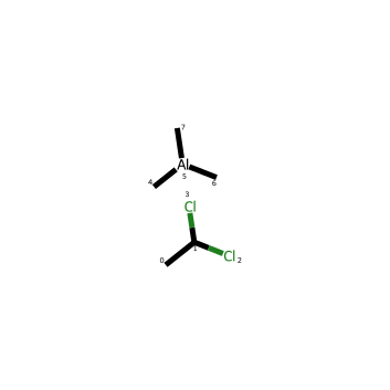 CC(Cl)Cl.[CH3][Al]([CH3])[CH3]